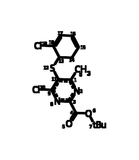 Cc1nc(C(=O)OC(C)(C)C)nc(Cl)c1SC1CC=CC=C1Cl